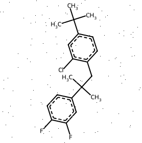 CC(C)(C)c1ccc(CC(C)(C)c2ccc(F)c(F)c2)c(Cl)c1